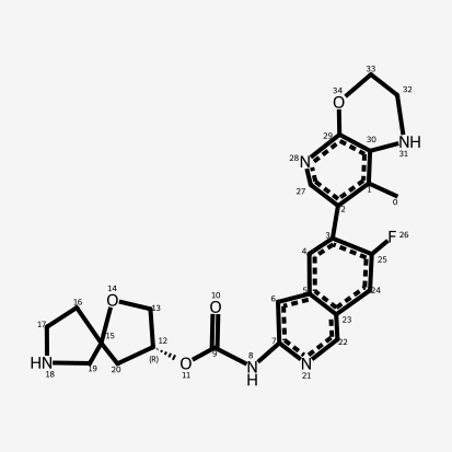 Cc1c(-c2cc3cc(NC(=O)O[C@H]4COC5(CCNC5)C4)ncc3cc2F)cnc2c1NCCO2